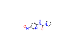 O=Nc1ccc(NC(=O)N2CCCC2)nc1